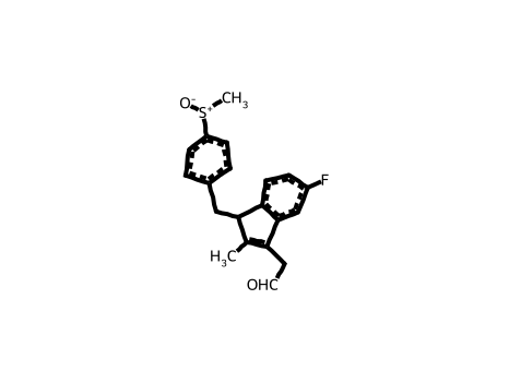 CC1=C(CC=O)c2cc(F)ccc2C1Cc1ccc([S+](C)[O-])cc1